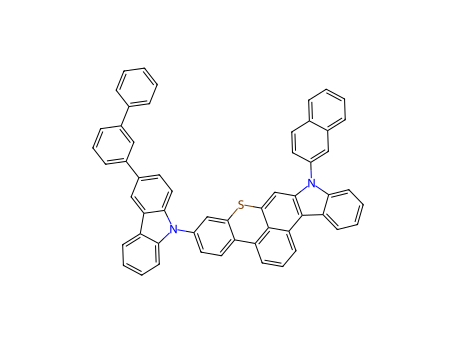 c1ccc(-c2cccc(-c3ccc4c(c3)c3ccccc3n4-c3ccc4c(c3)Sc3cc5c(c6cccc-4c36)c3ccccc3n5-c3ccc4ccccc4c3)c2)cc1